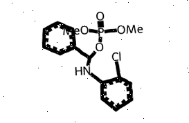 COP(=O)(OC)OC(Nc1ccccc1Cl)c1ccccc1